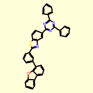 c1ccc(-c2nc(-c3ccccc3)nc(-c3ccc4sc(-c5cccc(-c6cccc7c6oc6ccccc67)c5)nc4c3)n2)cc1